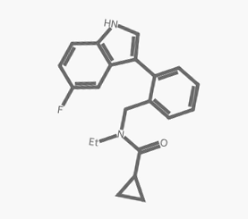 CCN(Cc1ccccc1-c1c[nH]c2ccc(F)cc12)C(=O)C1CC1